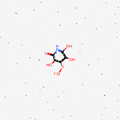 O=c1[nH]c(O)c(O)c(OO)c1O